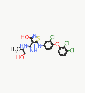 CC(CO)NC(=N)c1c(O)nsc1Nc1ccc(Oc2cccc(Cl)c2Cl)c(Cl)c1